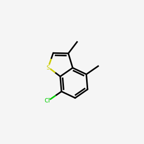 Cc1ccc(Cl)c2scc(C)c12